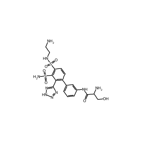 NCCNS(=O)(=O)c1ccc(-c2cccc(NC(=O)C(N)CO)c2)c(-c2nn[nH]n2)c1S(N)(=O)=O